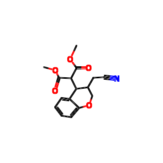 COC(=O)C(C(=O)OC)C1c2ccccc2OCC1CC#N